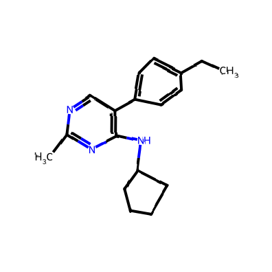 CCc1ccc(-c2cnc(C)nc2NC2CCCC2)cc1